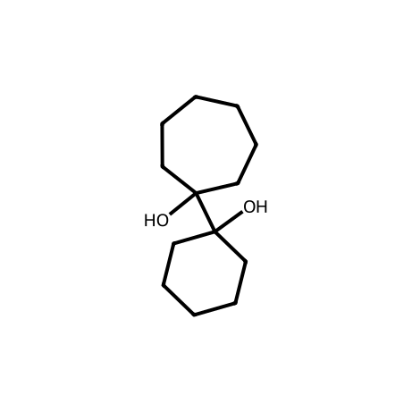 OC1(C2(O)CCCCC2)CCCCCC1